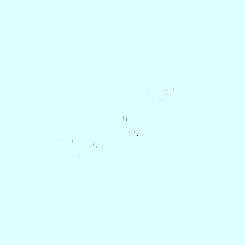 CC(C)(C)ONC(=O)c1ccc(N)c(N2CCCC(CCNC(=O)OC(C)(C)C)C2)c1